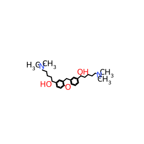 CN(C)CCCCC(O)c1ccc2c(c1)Cc1cc(C(O)CCCCN(C)C)ccc1O2